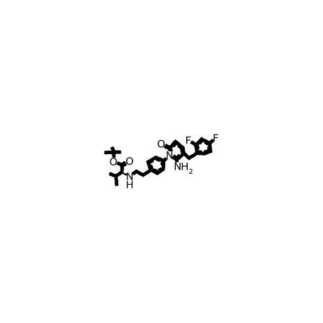 CC(C)[C@H](NCCc1ccc(-n2c(N)c(Cc3ccc(F)cc3F)ccc2=O)cc1)C(=O)OC(C)(C)C